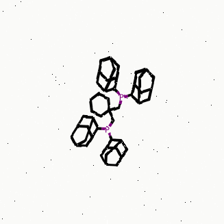 C1CCC(CP(C2C3CC4CC(C3)CC2C4)C2C3CC4CC(C3)CC2C4)(CP(C2C3CC4CC(C3)CC2C4)C2C3CC4CC(C3)CC2C4)CC1